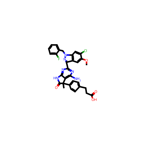 COc1cc2c(-c3nc(N)c4c(n3)NC(=O)C4(C)c3ccc(CCC(=O)O)cc3)nn(Cc3ccccc3F)c2cc1Cl